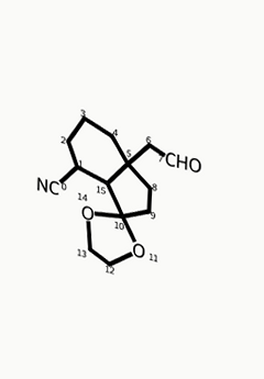 N#CC1CCCC2(CC=O)CCC3(OCCO3)C12